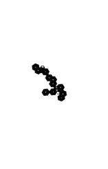 c1ccc(-c2cccc(N(c3ccc4c(ccc5cc(-c6ccc7oc8c9ccccc9ccc8c7c6)ccc54)c3)c3cccc4c3sc3c5ccccc5ccc43)c2)cc1